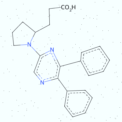 O=C(O)CCC1CCCN1c1cnc(-c2ccccc2)c(-c2ccccc2)n1